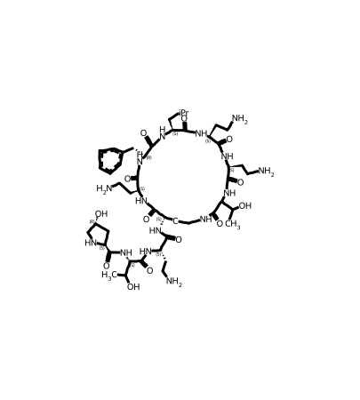 CC(C)C[C@@H]1NC(=O)[C@@H](Cc2ccccc2)NC(=O)[C@H](CCN)NC(=O)[C@@H](NC(=O)[C@H](CCN)NC(=O)[C@@H](NC(=O)[C@@H]2C[C@@H](O)CN2)C(C)O)CCNC(=O)C(C(C)O)NC(=O)[C@H](CCN)NC(=O)[C@H](CCN)NC1=O